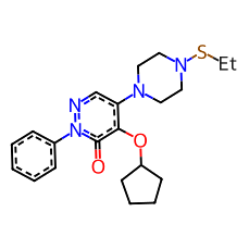 CCSN1CCN(c2cnn(-c3ccccc3)c(=O)c2OC2CCCC2)CC1